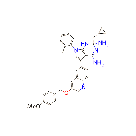 COc1ccc(COc2cnc3ccc(-c4cn(-c5ccccc5C)c5c4C(N)=NC(N)(CC4CC4)N5)cc3c2)cc1